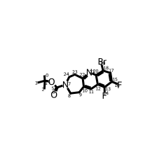 CC(C)(C)OC(=O)N1CCc2cc3c(F)c(F)cc(Br)c3nc2CC1